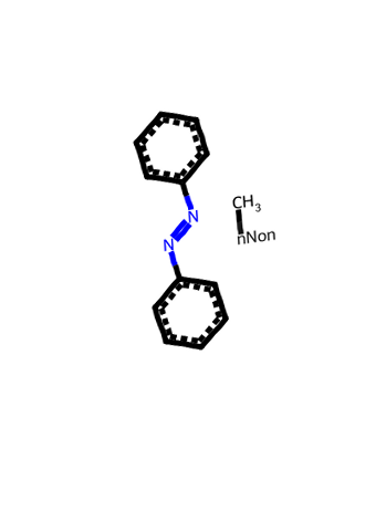 CCCCCCCCCC.c1ccc(N=Nc2ccccc2)cc1